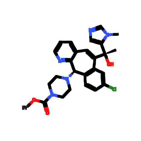 CC(C)OC(=O)N1CCN([C@H]2c3ccc(Cl)cc3C([C@](C)(O)c3cncn3C)=Cc3cccnc32)CC1